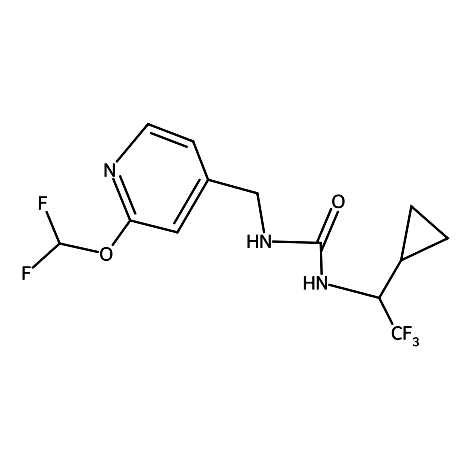 O=C(NCc1ccnc(OC(F)F)c1)NC(C1CC1)C(F)(F)F